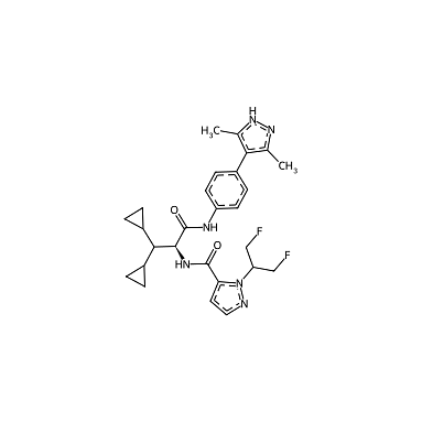 Cc1n[nH]c(C)c1-c1ccc(NC(=O)[C@@H](NC(=O)c2ccnn2C(CF)CF)C(C2CC2)C2CC2)cc1